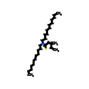 CCCCCCCCCCCCN(CCCCCCCCCCCC)C(=S)CC(C)CC